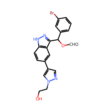 O=COC(c1cccc(Br)c1)c1n[nH]c2ccc(-c3cnn(CCO)c3)cc12